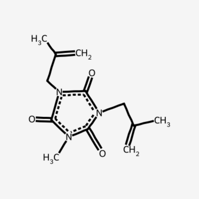 C=C(C)Cn1c(=O)n(C)c(=O)n(CC(=C)C)c1=O